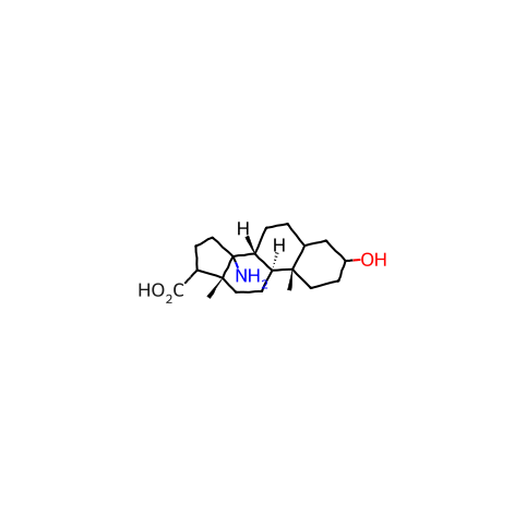 C[C@]12CCC(O)CC1CC[C@@H]1[C@@H]2CC[C@]2(C)C(C(=O)O)CCC12N